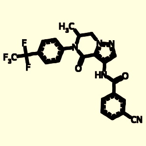 CC1Cn2ncc(NC(=O)c3cccc(C#N)c3)c2C(=O)N1c1ccc(C(F)(F)C(F)(F)F)cc1